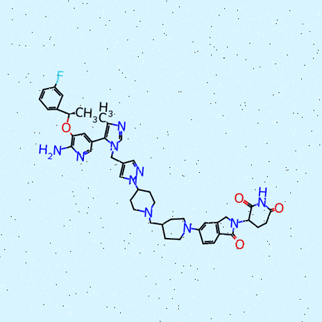 Cc1ncn(Cc2cnn(C3CCN(CC4CCN(c5ccc6c(c5)CN(C5CCC(=O)NC5=O)C6=O)CC4)CC3)c2)c1-c1cnc(N)c(O[C@H](C)c2cccc(F)c2)c1